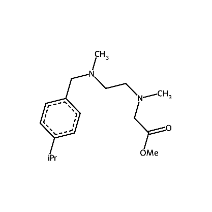 COC(=O)CN(C)CCN(C)Cc1ccc(C(C)C)cc1